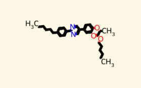 CCCCCCOC(=O)C(C)Oc1ccc(-c2cnc(-c3ccc(CCCCCC)cc3)nc2)cc1